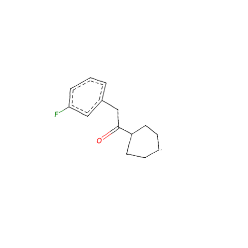 O=C(Cc1cccc(F)c1)C1CC[CH]CC1